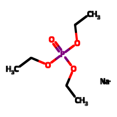 CCOP(=O)(OCC)OCC.[Na]